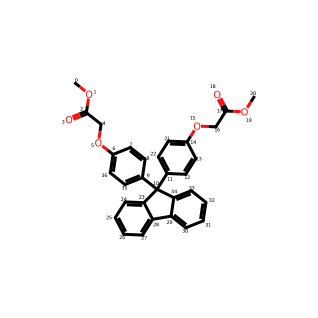 COC(=O)COc1ccc(C2(c3ccc(OCC(=O)OC)cc3)c3ccccc3-c3ccccc32)cc1